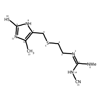 CNC(=NCCSCc1[nH]c(S)nc1C)NC#N